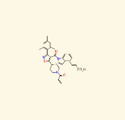 C=CC(=O)N1CCC(c2onc(-c3c(C)cc(C)cc3C)c2C(=O)n2ccc3c(/C=C/C(=O)O)cccc32)CC1